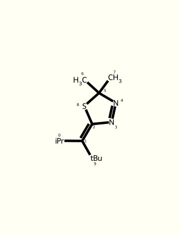 CC(C)C(=C1N=NC(C)(C)S1)C(C)(C)C